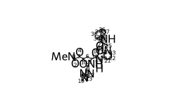 CNC(=O)C(=O)CC[C@H](NC(=O)c1ncn(C)n1)C(=O)Nc1cccn(CC(=O)NC2C3CC4CC(C3)C2C4)c1=O